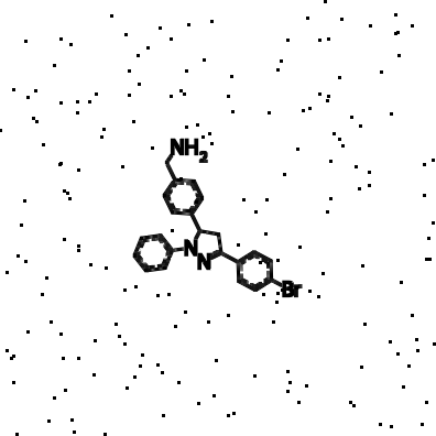 NCc1ccc(C2CC(c3ccc(Br)cc3)=NN2c2ccccc2)cc1